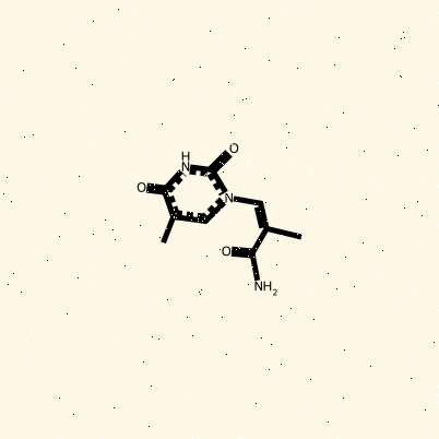 CC(=Cn1cc(C)c(=O)[nH]c1=O)C(N)=O